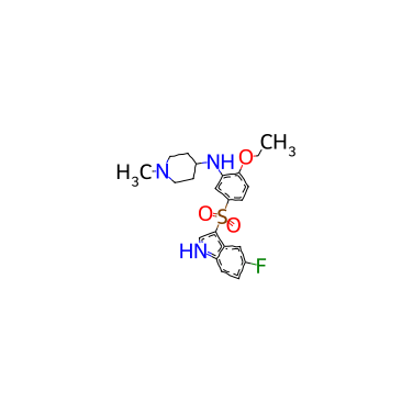 CCOc1ccc(S(=O)(=O)c2c[nH]c3ccc(F)cc23)cc1NC1CCN(C)CC1